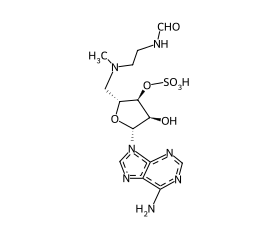 CN(CCNC=O)C[C@H]1O[C@@H](n2cnc3c(N)ncnc32)[C@H](O)[C@@H]1OS(=O)(=O)O